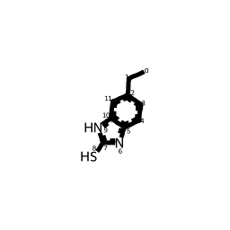 CCc1ccc2nc(S)[nH]c2c1